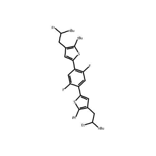 CCCCC(CC)Cc1cc(-c2cc(F)c(-c3cc(CC(CC)CCCC)c(C(C)(C)C)s3)cc2F)sc1C(C)C